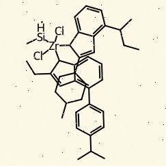 CCC1=Cc2c(-c3ccc(C(C)C)cc3)cccc2[CH]1[Zr]([Cl])([Cl])([CH]1C(C2CCC(C)CC2)=Cc2c(C(C)CC)cccc21)[SiH](C)C